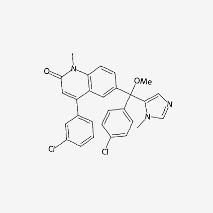 COC(c1ccc(Cl)cc1)(c1ccc2c(c1)c(-c1cccc(Cl)c1)cc(=O)n2C)c1cncn1C